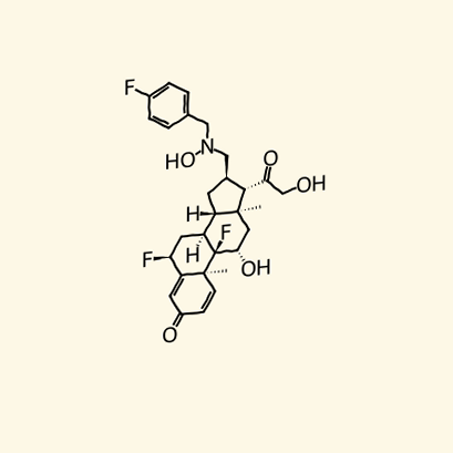 C[C@]12C[C@H](O)[C@@]3(F)[C@@H](C[C@H](F)C4=CC(=O)C=C[C@@]43C)[C@@H]1C[C@@H](CN(O)Cc1ccc(F)cc1)[C@@H]2C(=O)CO